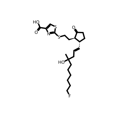 CC(O)(CC=C[C@H]1CCC(=O)[C@@H]1CCSc1nc(C(=O)O)cs1)CCCCCCF